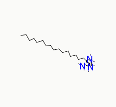 CCCCCCCCCCCCCCCC[Si](N(C)C)(N(C)C)N(C)C